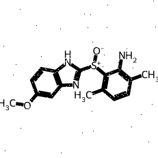 COc1ccc2[nH]c([S+]([O-])c3c(C)ccc(C)c3N)nc2c1